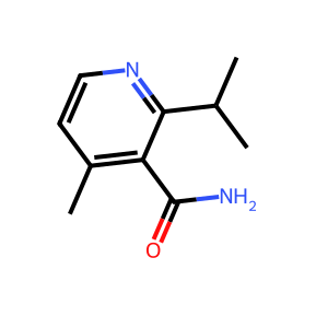 Cc1ccnc(C(C)C)c1C(N)=O